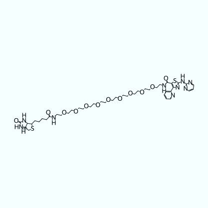 O=C(CCCCC1SC[C@@H]2NC(=O)NC12)NCCOCCOCCOCCOCCOCCOCCOCCOCCOCCNC(=O)c1sc(Nc2ncccn2)nc1-c1ccccn1